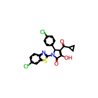 O=C(C1=C(O)C(=O)N(c2nc3ccc(Cl)cc3s2)C1c1ccc(Cl)cc1)C1CC1